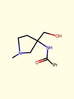 CC(C)C(=O)NC1(CO)CCN(C)C1